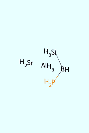 [AlH3].[SiH3]BP.[SrH2]